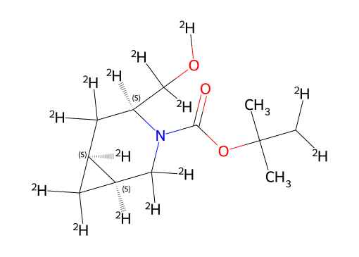 [2H]OC([2H])([2H])[C@@]1([2H])N(C(=O)OC(C)(C)C([2H])[2H])C([2H])([2H])[C@@]2([2H])C([2H])([2H])[C@@]2([2H])C1([2H])[2H]